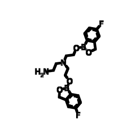 NCCN(CCOB1OCc2cc(F)ccc21)CCOB1OCc2cc(F)ccc21